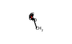 C=CCCCCCCCCC(=O)N1CCN(S(=O)(=O)C(F)(F)C(F)(F)C(F)(F)C(F)(F)F)CC1